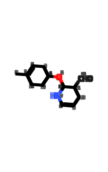 CC1=CCC(OC2NC=CCC2C=O)CC1